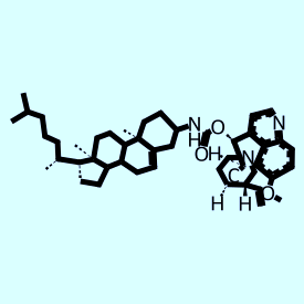 C=C[C@H]1CN2CC[C@H]1C[C@H]2[C@H](OC(=O)NC1CC[C@@]2(C)C(=CCC3C2CC[C@@]2(C)C3CC[C@@H]2[C@H](C)CCCC(C)C)C1)c1ccnc2ccc(OC)cc12